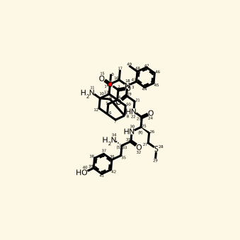 COC(=O)C12CC3CC(CC(N)(C3)C1C(=O)C(C)N(C(=O)CNC(=O)[C@@H](CCSC)NC(=O)[C@@H](N)Cc1ccc(O)cc1)c1ccccc1C)C2